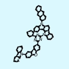 c1ccc(-c2nc(-c3ccc4oc5ccc(-n6c7ccccc7c7ccccc76)cc5c4c3)nc(-n3c4ccccc4c4ccc5c(c6ccccc6n5-c5ccc6cc7ccccc7cc6c5)c43)n2)cc1